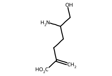 C=C(CCC(N)CO)C(=O)O